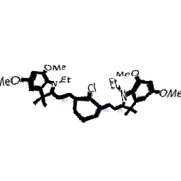 CCN1/C(=C\C=C2/CCCC(/C=C/C3=[N+](CC)c4c(OC)cc(OC)cc4C3(C)C)=C2Cl)C(C)(C)c2cc(OC)cc(OC)c21